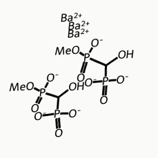 COP(=O)([O-])C(O)P(=O)([O-])[O-].COP(=O)([O-])C(O)P(=O)([O-])[O-].[Ba+2].[Ba+2].[Ba+2]